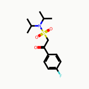 CC(C)N(C(C)C)S(=O)(=O)CC(=O)c1ccc(F)cc1